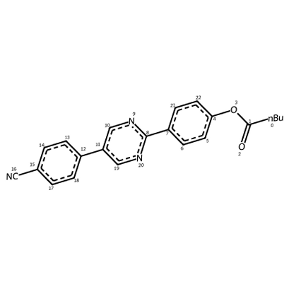 CCCCC(=O)Oc1ccc(-c2ncc(-c3ccc(C#N)cc3)cn2)cc1